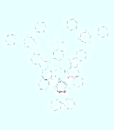 Fc1cc(F)cc(-c2c(-n3c4cc(-c5nc(-c6ccccc6)nc(-c6ccccc6)n5)ccc4c4ccc(-c5nc(-c6ccccc6)nc(-c6ccccc6)n5)cc43)cc(C(F)(F)F)cc2-n2c3cc(-c4nc(-c5ccccc5)nc(-c5ccccc5)n4)ccc3c3ccc(-c4nc(-c5ccccc5)nc(-c5ccccc5)n4)cc32)c1